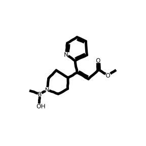 COC(=O)/C=C(\c1ccccn1)C1CCN(B(C)O)CC1